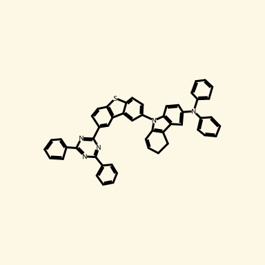 C1=Cc2c(c3cc(N(c4ccccc4)c4ccccc4)ccc3n2-c2ccc3sc4ccc(-c5nc(-c6ccccc6)nc(-c6ccccc6)n5)cc4c3c2)CC1